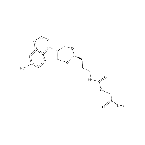 CNC(=O)COC(=O)NCCC[C@H]1OC[C@H](c2cccc3cc(O)ccc32)CO1